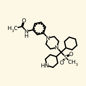 CC(=O)Nc1cccc(N2CCN(C(C3CCCCC3)(C3CCNCC3)S(C)(=O)=O)CC2)c1